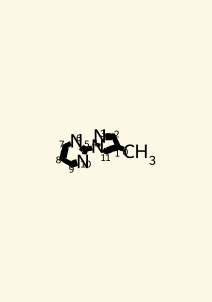 Cc1cnn(-c2ncccn2)c1